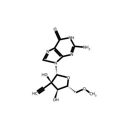 C#C[C@@]1(O)[C@H](O)[C@@H](COC)O[C@H]1n1cnc2c(=O)[nH]c(N)nc21